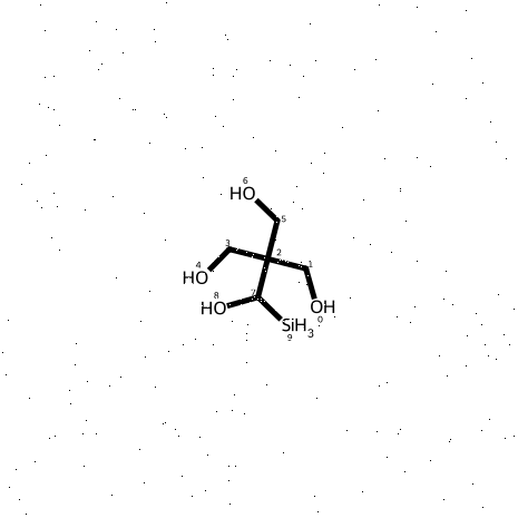 OCC(CO)(CO)C(O)[SiH3]